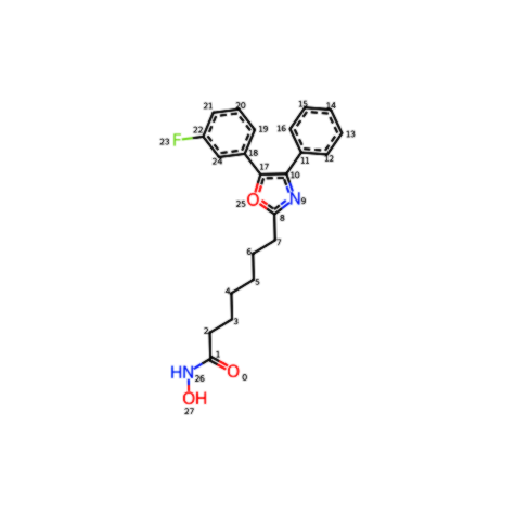 O=C(CCCCCCc1nc(-c2ccccc2)c(-c2cccc(F)c2)o1)NO